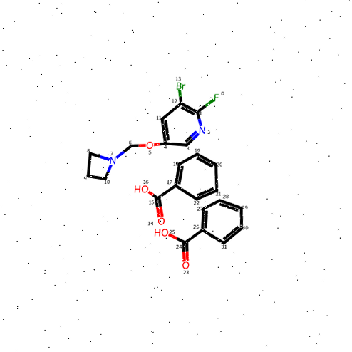 Fc1ncc(OCN2CCC2)cc1Br.O=C(O)c1ccccc1.O=C(O)c1ccccc1